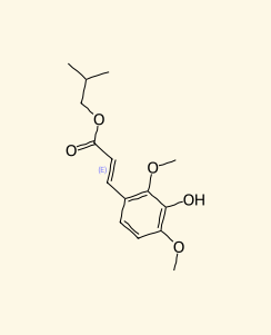 COc1ccc(/C=C/C(=O)OCC(C)C)c(OC)c1O